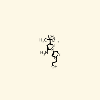 CC(C)(C)c1cc(N)n(-c2cnn(CCO)c2)n1